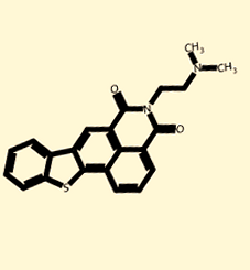 CN(C)CCN1C(=O)c2cccc3c2c(cc2c4ccccc4sc32)C1=O